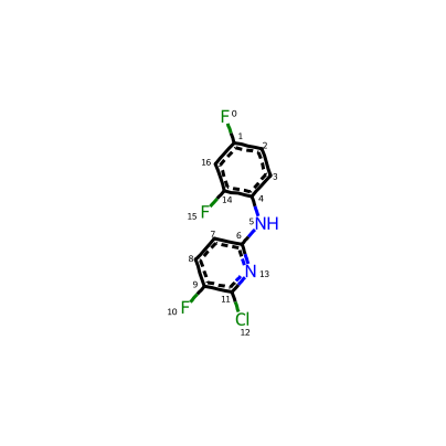 Fc1ccc(Nc2ccc(F)c(Cl)n2)c(F)c1